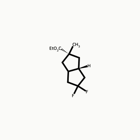 CCOC(=O)[C@@]1(C)CC2CC(F)(F)C[C@H]2C1